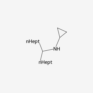 CCCCCCCC(CCCCCCC)NC1CC1